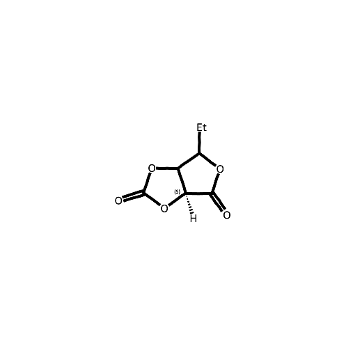 CCC1OC(=O)[C@H]2OC(=O)OC12